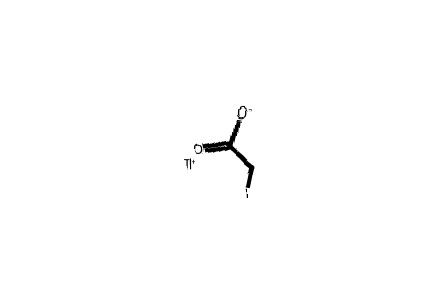 O=C([O-])CI.[Tl+]